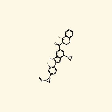 C=CC1C[C@@H]1c1ccc(-c2cc3c(C4CC4)cc(C(=O)N4CCc5ccccc5[C@H]4C)cc3n2C)c(F)c1